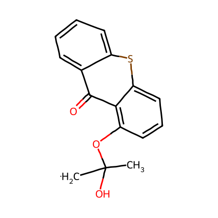 [CH2]C(C)(O)Oc1cccc2sc3ccccc3c(=O)c12